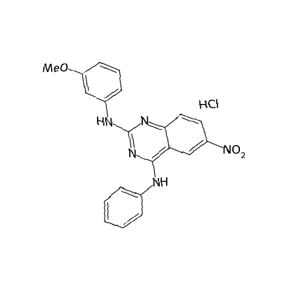 COc1cccc(Nc2nc(Nc3ccccc3)c3cc([N+](=O)[O-])ccc3n2)c1.Cl